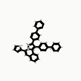 c1ccc(-c2ccc(-c3nn4c(-c5cccs5)cc5ccccc5c4c3-c3ccc(-c4ccccc4)cc3)cc2)cc1